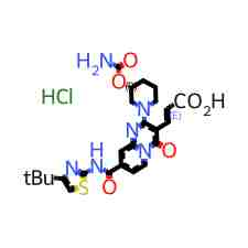 CC(C)(C)c1csc(NC(=O)c2ccn3c(=O)c(/C=C/C(=O)O)c(N4CCC[C@@H](OC(N)=O)C4)nc3c2)n1.Cl